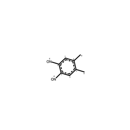 Cc1cc(N=O)c(N=O)cc1C